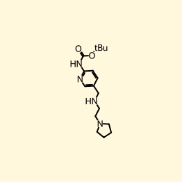 CC(C)(C)OC(=O)Nc1ccc(CNCCN2CCCC2)cn1